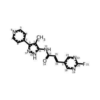 Cc1c(-c2ccncc2)n[nH]c1NC(=O)C=Cc1cnc(F)nc1